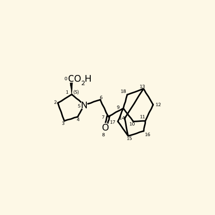 O=C(O)[C@@H]1CCCN1CC(=O)C12CC3CC(CC(C3)C1)C2